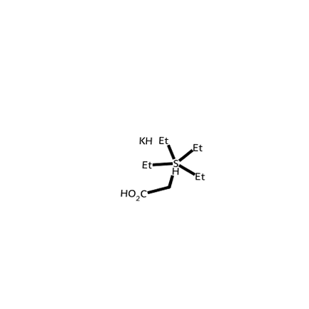 CC[SH](CC)(CC)(CC)CC(=O)O.[KH]